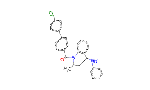 CC1CC(Nc2ccccc2)c2ccccc2N1C(=O)c1ccc(-c2ccc(Cl)cc2)cc1